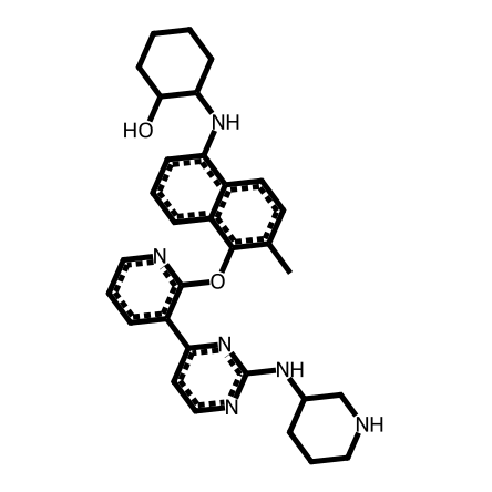 Cc1ccc2c(NC3CCCCC3O)cccc2c1Oc1ncccc1-c1ccnc(NC2CCCNC2)n1